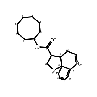 O=C(OC1CCCCCCC1)C1CSC23CC=CC=C2N=CCC13